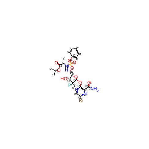 CC(C)OC(=O)[C@H](C)NP(=O)(OC[C@H]1O[C@@H](Oc2ncc(Br)nc2C(N)=O)[C@](C)(F)[C@@H]1O)Oc1ccccc1